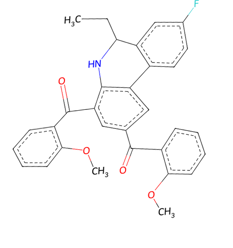 CCC1Nc2c(C(=O)c3ccccc3OC)cc(C(=O)c3ccccc3OC)cc2-c2ccc(F)cc21